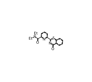 CCN(CC)C(=O)c1cccc(-c2nc(=O)c3ccccc3s2)n1